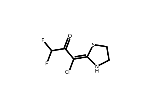 O=C(C(Cl)=C1NCCS1)C(F)F